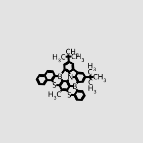 Cc1c2c3c4c5c1Sc1c(ccc6ccccc16)B5c1cc(C(C)(C)C)cc5c6cc(C(C)(C)C)cc(c6n-4c15)B3c1ccccc1S2